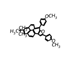 COc1ccc(-c2cc3c(o2)c(-c2ccc(OC)cc2)c2ccc4cc(C(C)(C)C)cc5ccc3c2c45)cc1